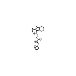 O=C(CSc1ncnc2sc3c(c12)CCCC3)NCc1ccco1